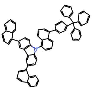 c1ccc(C(c2ccccc2)(c2ccccc2)c2ccc(-c3cccc4c(-n5c6ccc(-c7cccc8ccccc78)cc6c6cc(-c7cccc8ccccc78)ccc65)cccc34)cc2)cc1